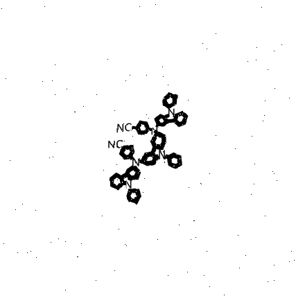 N#Cc1ccc(N(c2ccc3c(c2)c2ccccc2n3-c2ccccc2)c2ccc3c(c2)c2cc(N(c4ccc(C#N)cc4)c4ccc5c(c4)c4ccccc4n5-c4ccccc4)ccc2n3-c2ccccc2)cc1